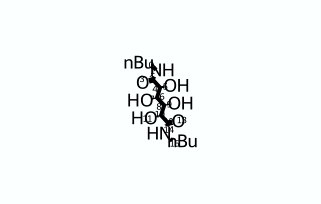 CCCCNC(=O)[C@@H](O)[C@@H](O)[C@H](O)[C@@H](O)C(=O)NCCCC